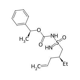 C=CC[C@H](CC)CS(=N)(=O)NC(=O)O[C@@H](C)c1ccccc1